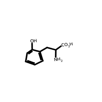 NC(Cc1ccccc1O)C(=O)O